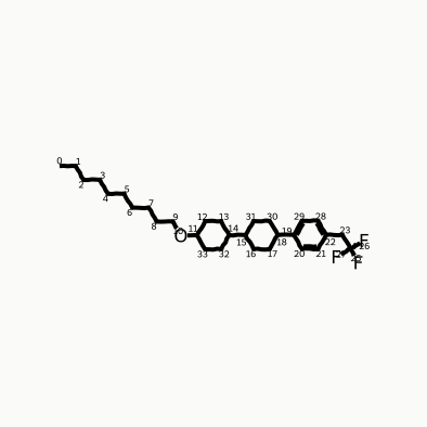 CCCCCCCCCCOC1CCC(C2CCC(c3ccc(CC(F)(F)F)cc3)CC2)CC1